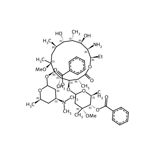 CC[C@H]1OC(=O)[C@H](C)[C@@H](OC2C[C@@](C)(OC)[C@@H](OC(=O)c3ccccc3)[C@H](C)O2)[C@H](C)[C@@H](OC2O[C@H](C)C[C@H](N(C)C)[C@H]2OC(=O)c2ccccc2)[C@@](C)(OC)C[C@@H](C)[C@H](O)[C@H](C)[C@@H](O)[C@H]1N